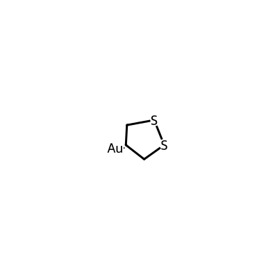 C1CSSC1.[Au]